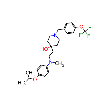 CC(C)Oc1ccc(N(C)CCC2(O)CCN(Cc3ccc(OC(F)(F)F)cc3)CC2)cc1